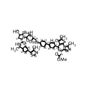 COC(=O)C[C@@H]1N=C(c2ccc(-c3ccc(NCC(=O)N[C@H](C(=O)N4C[C@H](O)C[C@H]4C(=O)N[C@@H](C)c4ccc(-c5scnc5C)cc4)C(C)(C)C)cc3)cc2)c2c(sc(C)c2C)-n2c(C)nnc21